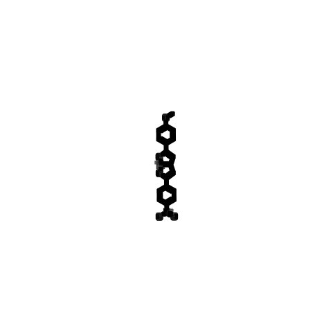 COc1ccc(C2=CC3=[Te](O2)OC(c2ccc([N+](=O)[O-])cc2)=C3)cc1